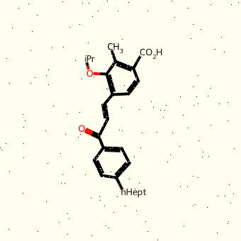 CCCCCCCc1ccc(C(=O)/C=C/c2ccc(C(=O)O)c(C)c2OC(C)C)cc1